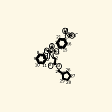 O=C(CNP(=O)(Oc1ccccc1)Oc1ccc([N+](=O)[O-])cc1)OCC1CCCC1